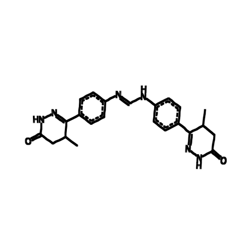 CC1CC(=O)NN=C1c1ccc(N=CNc2ccc(C3=NNC(=O)CC3C)cc2)cc1